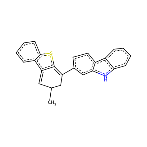 CC1C=c2c(sc3ccccc23)=C(c2ccc3c(c2)[nH]c2ccccc23)C1